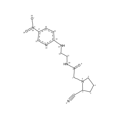 N#CC1CCCN1CC(=O)NCCNc1ccc([N+](=O)[O-])cn1